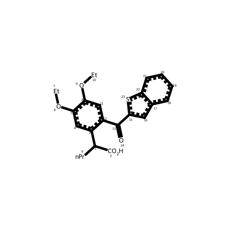 CCCC(C(=O)O)c1cc(OCC)c(OCC)cc1C(=O)c1cc2ccccc2s1